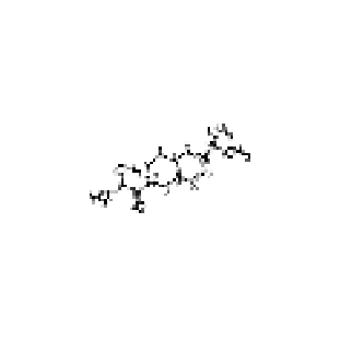 CC(C)C(=O)N1CCc2c[n+](C(C)C)ccc2C1